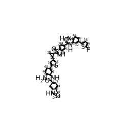 CS(=N)(=O)Cc1ccc(C(=O)Nc2cc(-c3cc(C4CC4S(=N)(=O)c4ccc(C(=O)Nc5cc(-c6ccc(F)s6)ccc5N)cc4)cs3)ccc2N)cc1